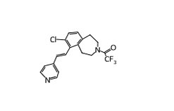 O=C(N1CCc2ccc(Cl)c(/C=C/c3ccncc3)c2CC1)C(F)(F)F